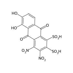 O=C1c2c(ccc(O)c2O)C(=O)c2c1c([N+](=O)[O-])c([N+](=O)[O-])c(S(=O)(=O)O)c2S(=O)(=O)O